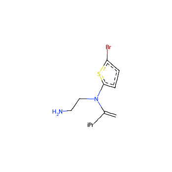 C=C(C(C)C)N(CCN)c1ccc(Br)s1